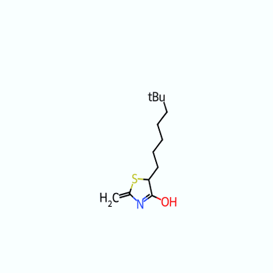 C=C1N=C(O)C(CCCCCC(C)(C)C)S1